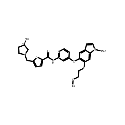 CCOCCOc1cc2c(ccn2NC)cc1Oc1ccnc(NC(=O)c2ccc(CN3CC[C@@H](O)C3)s2)c1